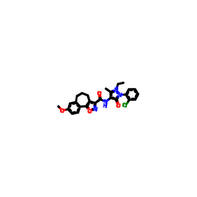 CCn1c(C)c(NC(=O)c2noc3c2CCCc2cc(OC)ccc2-3)c(=O)n1-c1ccccc1Cl